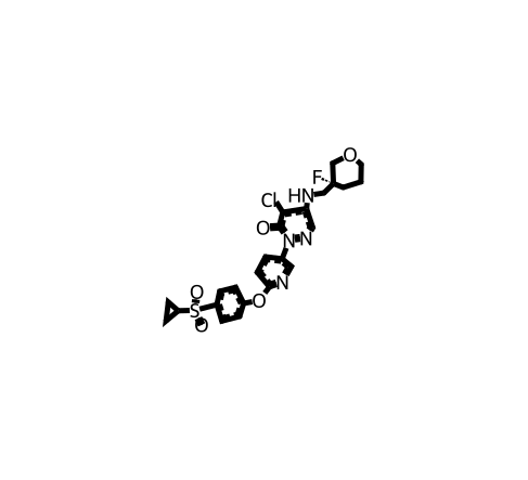 O=c1c(Cl)c(NC[C@]2(F)CCCOC2)cnn1-c1ccc(Oc2ccc(S(=O)(=O)C3CC3)cc2)nc1